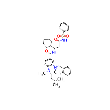 CC(C)CCN(C)c1ccc(C(=O)NC(CC(=O)NS(=O)(=O)c2ccccc2)C2CCCCC2)cc1N(C)Cc1ccccc1